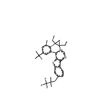 CCC12CC1(CC)[n+]1cnc3c(sc4cc(CC(C)(C)C(F)(F)F)ccc43)c1-c1cc(C(C)(C)C)cc(C)c12